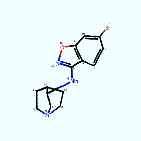 Brc1ccc2c(NC3CN4CCC3CC4)noc2c1